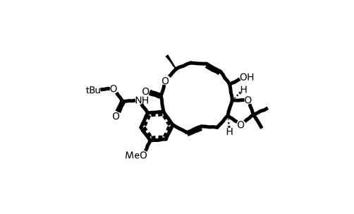 COc1cc2c(c(NC(=O)OC(C)(C)C)c1)C(=O)O[C@@H](C)C/C=C\C(O)[C@H]1OC(C)(C)O[C@H]1C/C=C/2